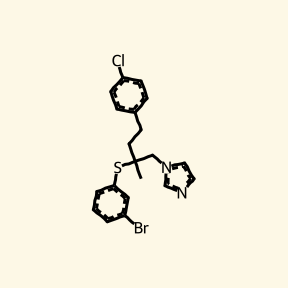 CC(CCc1ccc(Cl)cc1)(Cn1ccnc1)Sc1cccc(Br)c1